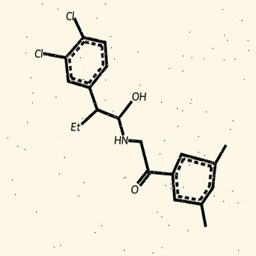 CCC(c1ccc(Cl)c(Cl)c1)C(O)NCC(=O)c1cc(C)cc(C)c1